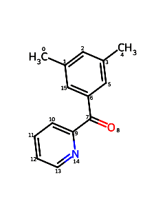 Cc1cc(C)cc(C(=O)c2ccccn2)c1